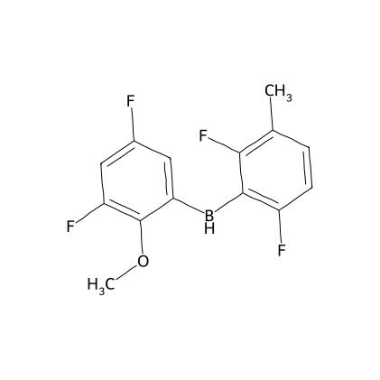 COc1c(F)cc(F)cc1Bc1c(F)ccc(C)c1F